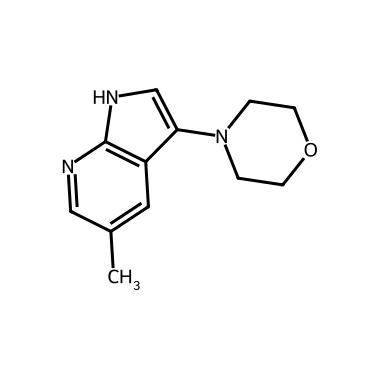 Cc1cnc2[nH]cc(N3CCOCC3)c2c1